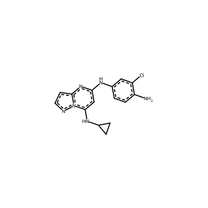 Nc1ccc(Nc2cc(NC3CC3)n3nccc3n2)cc1Cl